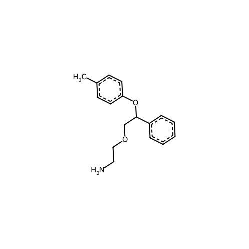 Cc1ccc(OC(COCCN)c2ccccc2)cc1